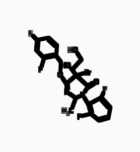 CC1N=C(OCc2ccc(F)cc2F)C(Br)(C(O)CO)C(=O)N1c1c(F)cccc1F